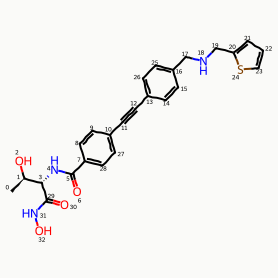 C[C@@H](O)[C@H](NC(=O)c1ccc(C#Cc2ccc(CNCc3cccs3)cc2)cc1)C(=O)NO